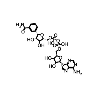 NC(=O)c1cccc([C@@H]2O[C@H](COP(=O)(O)OP(=O)(O)OC[C@H]3O[C@@H](n4cnc5c(N)ncnc54)C(O)[C@H]3O)C(O)[C@@H]2O)c1